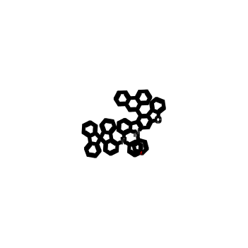 c1ccc(N(c2cccc3c2-c2ccccc2C32c3ccccc3-c3ccccc32)c2cccc3c4c(-c5cc6ccccc6c6ccccc56)c5c(cc4n(-c4ccccc4)c23)oc2ccccc25)cc1